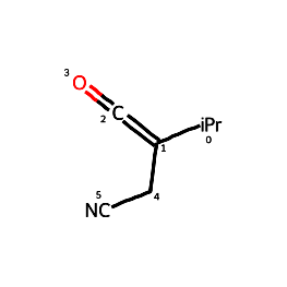 CC(C)C(=C=O)CC#N